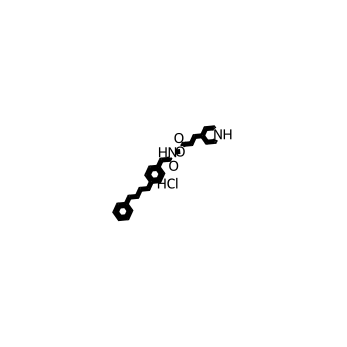 Cl.O=C(Cc1ccc(CCCCc2ccccc2)cc1)NOC(=O)CCC1CCNCC1